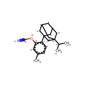 Cc1ccc(C23CC4CC(C2)CC(C(C)C)(C4)C3)c(OC#N)c1